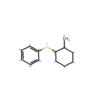 CC1CCCCC1Sc1ccccc1